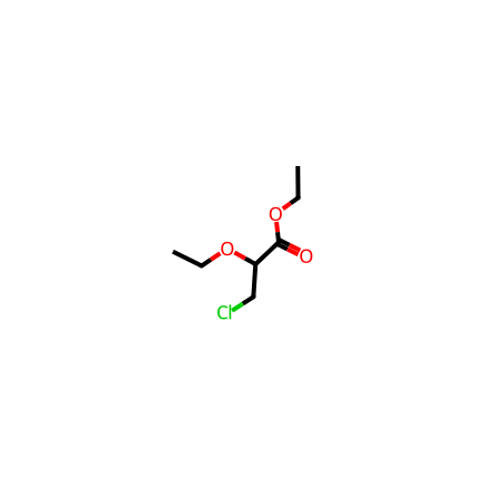 CCOC(=O)C(CCl)OCC